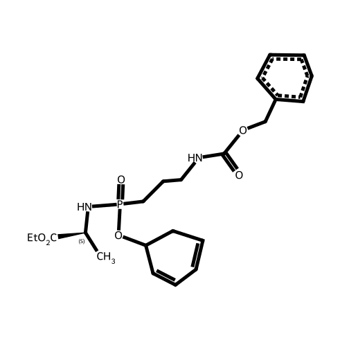 CCOC(=O)[C@H](C)NP(=O)(CCCNC(=O)OCc1ccccc1)OC1C=CC=CC1